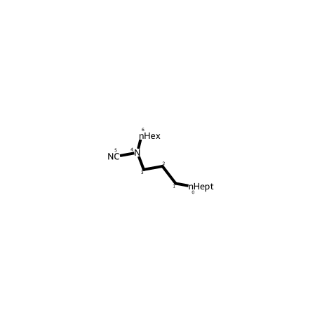 CCCCCCCCCCN(C#N)CCCCCC